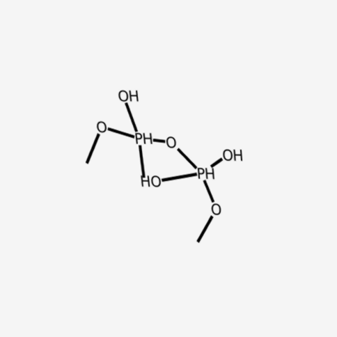 CO[PH](C)(O)O[PH](O)(O)OC